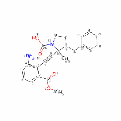 COC(=O)c1cccc(N)c1C#CC1(C)C(Cc2ccccc2)CCN1C(=O)O